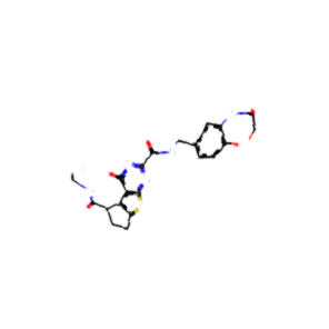 CCNC(=O)C1CCc2sc3nc(C(=O)NCc4ccc5c(c4)NC(=O)CO5)[nH]c(=O)c3c21